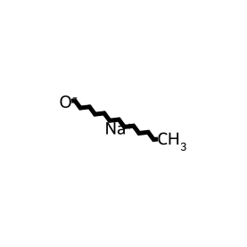 CCCCCCCCCCCCC[O-].[Na+]